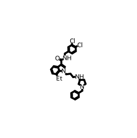 CCc1cccc2c(C(=O)NCc3ccc(Cl)c(Cl)c3)cn(CCCNC3CCN(Cc4ccccc4)C3)c12